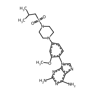 COc1cc(N2CCN(S(=O)(=O)CC(C)C)CC2)ccc1-n1cnc2c(N)nc(N)nc21